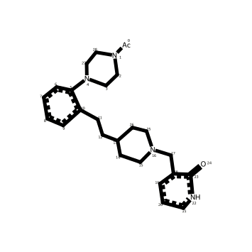 CC(=O)N1CCN(c2ccccc2CCC2CCN(Cc3ccc[nH]c3=O)CC2)CC1